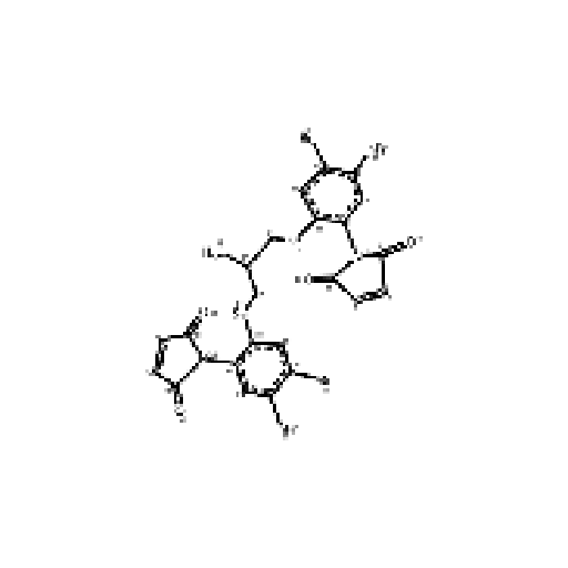 CCCc1cc(N2C(=O)C=CC2=O)c([Se]CC(C)C[Se]c2cc(Br)c(CCC)cc2N2C(=O)C=CC2=O)cc1Br